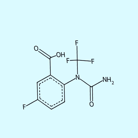 NC(=O)N(c1ccc(F)cc1C(=O)O)C(F)(F)F